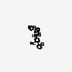 N#Cc1cc(NC(=O)[C@]23C[C@@]2(c2ccncc2)[C@@H]2CC[C@H]3O2)ccc1-c1ccccc1Cl